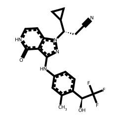 Cc1cc(Nc2nn([C@@H](CC#N)C3CC3)c3cc[nH]c(=O)c23)ccc1[C@H](O)C(F)(F)F